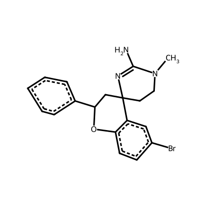 CN1CCC2(CC(c3ccccc3)Oc3ccc(Br)cc32)N=C1N